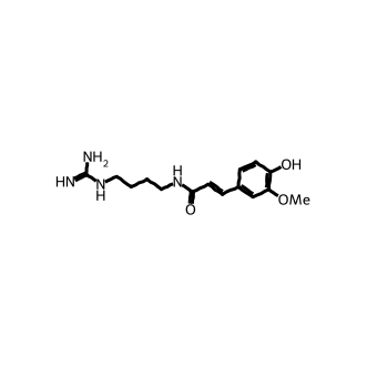 COc1cc(C=CC(=O)NCCCCNC(=N)N)ccc1O